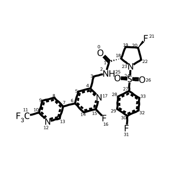 O=C(NCc1cc(-c2ccc(C(F)(F)F)nc2)cc(F)n1)[C@@H]1C[C@@H](F)CN1S(=O)(=O)c1ccc(F)cc1